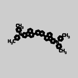 Cc1ccc(N(c2ccc(C)cc2)c2ccc3c(c2)-c2cccc4c(-c5ccc6ccc(-c7ccc8c9c(cccc79)-c7cc(N(c9ccc(C)cc9)c9ccc(C)cc9)ccc7-8)cc6c5)ccc-3c24)cc1